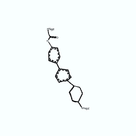 CCCCCCCC(=O)Oc1ccc(-c2ccc(C3CCC(CCCCCCC)CC3)cc2)cc1